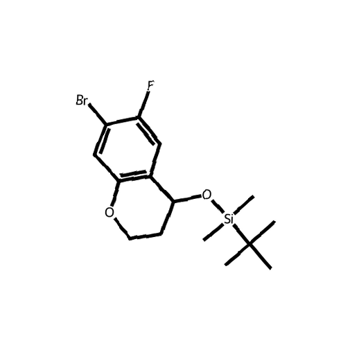 CC(C)(C)[Si](C)(C)OC1CCOc2cc(Br)c(F)cc21